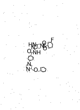 CN1CCN(c2ccc(C(=O)Nc3n[nH]c4c3CN(S(=O)(=O)c3cccc(F)c3)C4)cc2)CC1COCc1ccccc1